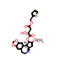 COC1=CC23CCCN2CCc2cc4c(cc2[C@@H]3C1OC(=O)[C@H](O)CC(=O)OCc1cccs1)OCO4